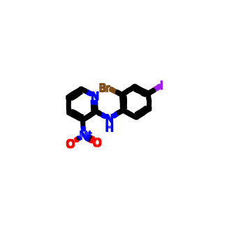 O=[N+]([O-])c1cccnc1Nc1ccc(I)cc1Br